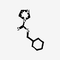 S=C(SCC1CCCCC1)n1ccnc1